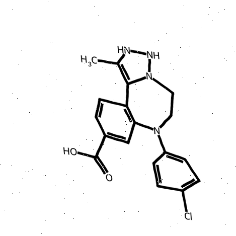 CC1=C2c3ccc(C(=O)O)cc3N(c3ccc(Cl)cc3)CCN2NN1